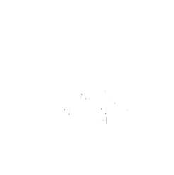 CC(C)c1nsc(NS(=O)(=O)Cc2ccccc2)n1